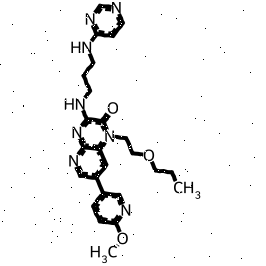 CCCOCCn1c(=O)c(NCCCNc2ccncn2)nc2ncc(-c3ccc(OC)nc3)cc21